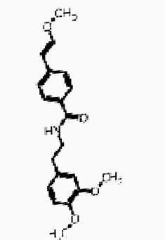 CO/C=C/c1ccc(C(=O)NCCc2ccc(OC)c(OC)c2)cc1